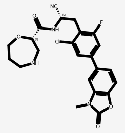 Cn1c(=O)oc2ccc(-c3cc(F)c(C[C@@H](C#N)NC(=O)[C@@H]4CNCCCO4)c(Cl)c3)cc21